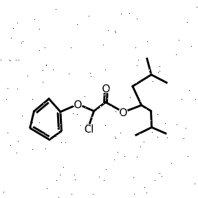 CC(C)CC(CC(C)C)OC(=O)C(Cl)Oc1ccccc1